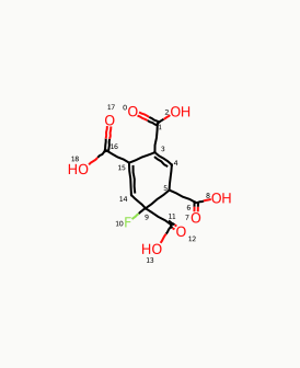 O=C(O)C1=CC(C(=O)O)C(F)(C(=O)O)C=C1C(=O)O